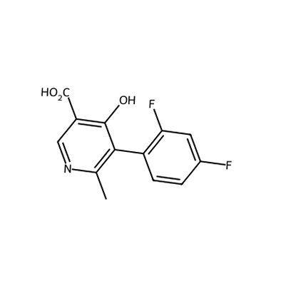 Cc1ncc(C(=O)O)c(O)c1-c1ccc(F)cc1F